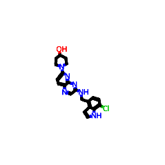 OC1CCN(c2ccc3ncc(NCc4ccc(Cl)c5[nH]ccc45)nc3n2)CC1